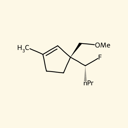 CCC[C@@H](F)[C@@]1(COC)C=C(C)CC1